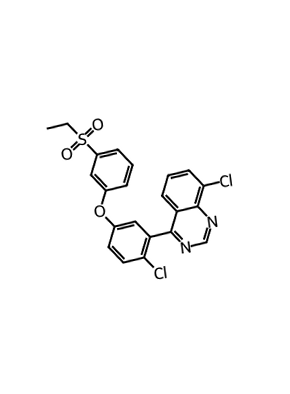 CCS(=O)(=O)c1cccc(Oc2ccc(Cl)c(-c3ncnc4c(Cl)cccc34)c2)c1